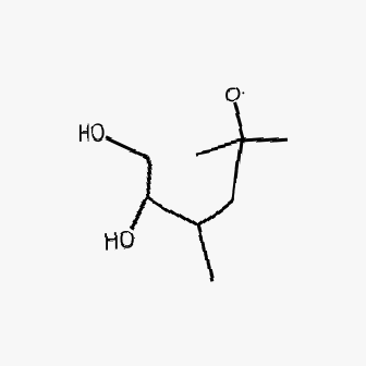 CC(CC(C)(C)[O])C(O)CO